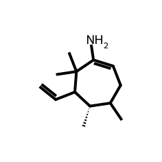 C=CC1[C@@H](C)C(C)CC=C(N)C1(C)C